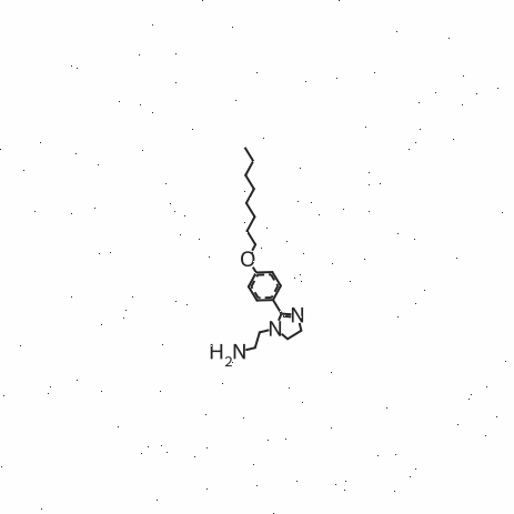 CCCCCCCCOc1ccc(C2=NCCN2CCN)cc1